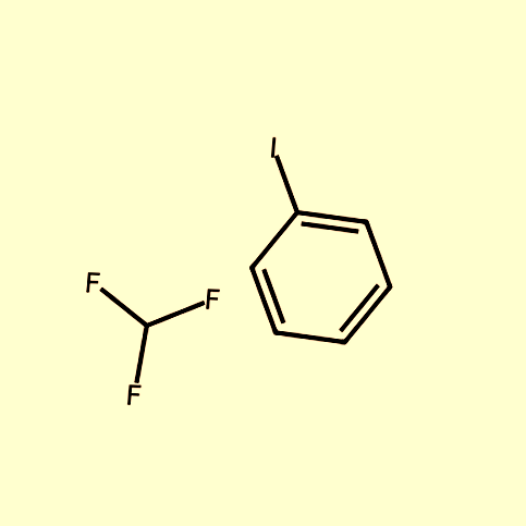 FC(F)F.Ic1ccccc1